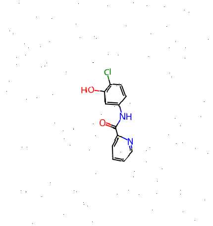 O=C(Nc1ccc(Cl)c(O)c1)c1ccccn1